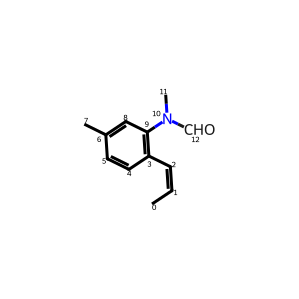 C/C=C\c1ccc(C)cc1N(C)C=O